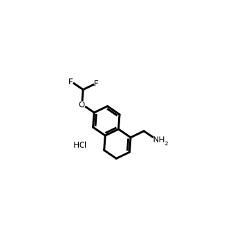 Cl.NCC1=CCCc2cc(OC(F)F)ccc21